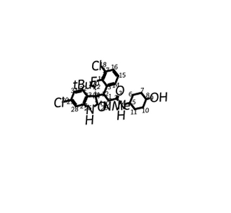 CNC(C(=O)NC1CCC(O)CC1)C(c1cccc(Cl)c1F)[C@@]1(CC(C)(C)C)C(=O)Nc2cc(Cl)ccc21